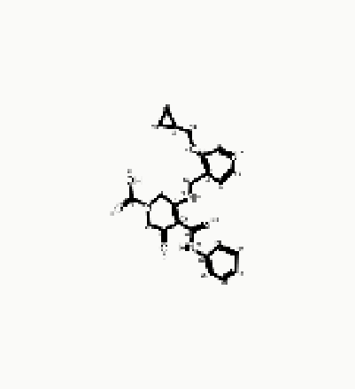 O=C1CN(C(=O)O)CC(NCc2ccncc2OCC2CC2)=C1C(=S)Nc1ccccc1